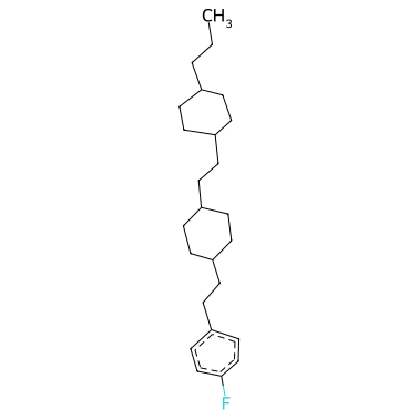 CCCC1CCC(CCC2CCC(CCc3ccc(F)cc3)CC2)CC1